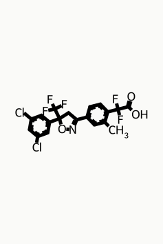 Cc1cc(C2=NOC(c3cc(Cl)cc(Cl)c3)(C(F)(F)F)C2)ccc1C(F)(F)C(=O)O